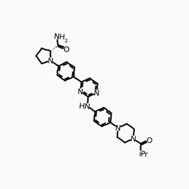 CC(C)C(=O)N1CCN(c2ccc(Nc3nccc(-c4ccc(N5CCC[C@@H]5C(N)=O)cc4)n3)cc2)CC1